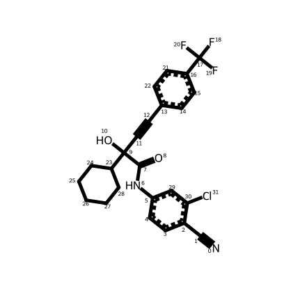 N#Cc1ccc(NC(=O)C(O)(C#Cc2ccc(C(F)(F)F)cc2)C2CCCCC2)cc1Cl